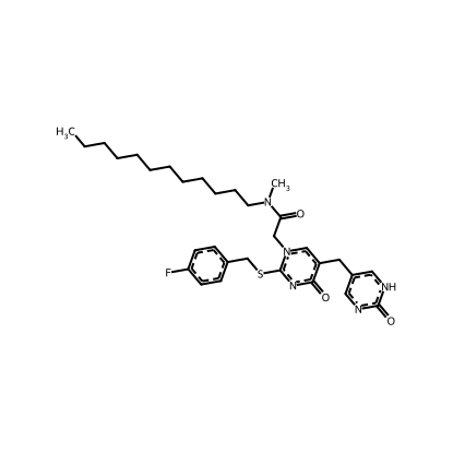 CCCCCCCCCCCCN(C)C(=O)Cn1cc(Cc2cnc(=O)[nH]c2)c(=O)nc1SCc1ccc(F)cc1